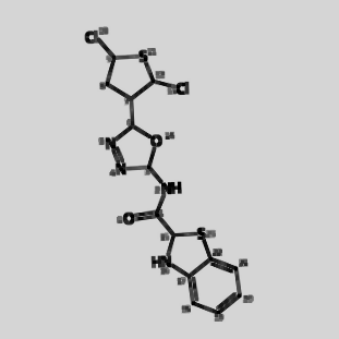 O=C(NC1N=NC(C2CC(Cl)SC2Cl)O1)C1Nc2ccccc2S1